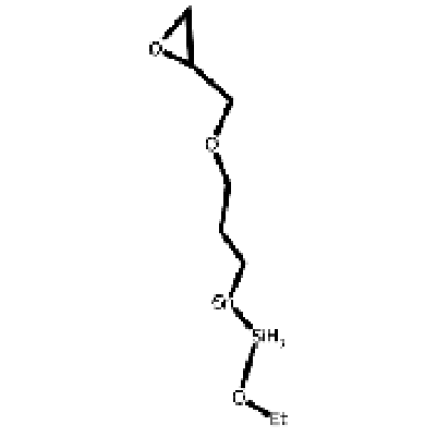 CCO[SiH2][Sn][CH2]CCOCC1CO1